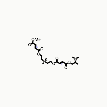 COC(=O)/C=C/C(=O)OCC[N+](C)(C)CCOC(=O)/C=C/C(=O)OCC(C)N(C)C